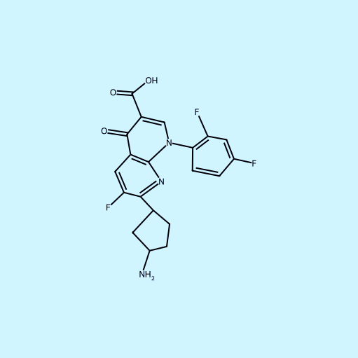 NC1CCC(c2nc3c(cc2F)c(=O)c(C(=O)O)cn3-c2ccc(F)cc2F)C1